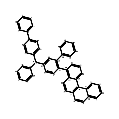 c1ccc(-c2ccc(N(c3ccccc3)c3ccc(-c4cccc5c4ccc4ccc6ccccc6c45)c(-c4ccccc4)c3)cc2)cc1